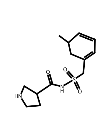 CC1C=CC=C(CS(=O)(=O)NC(=O)C2CCNC2)C1